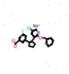 O=C([O-])c1cc(F)cc(C2=C(c3cc(Cl)cnc3OCc3ccccc3)CCC2)c1.[Na+]